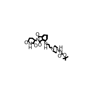 CC(C)(C)OC(=O)NN1CCN(CCNc2cccc3c2C(=O)N(C2CCC(=O)NC2=O)C3=O)CC1